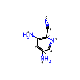 N#Cc1ncc(N)cc1N